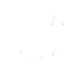 FC(F)Oc1ccc2c(-c3ccn4ncnc4c3)c[nH]c2n1